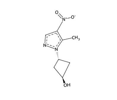 Cc1c([N+](=O)[O-])cnn1[C@H]1C[C@H](O)C1